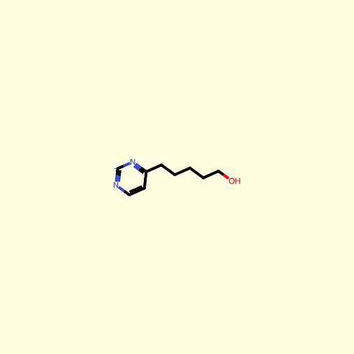 OCCCCCc1ccn[c]n1